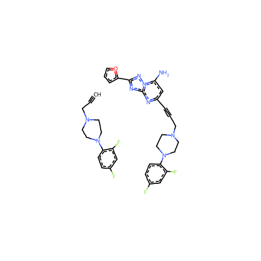 C#CCN1CCN(c2ccc(F)cc2F)CC1.Nc1cc(C#CCN2CCN(c3ccc(F)cc3F)CC2)nc2nc(-c3ccco3)nn12